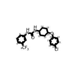 O=C(Nc1cccc(C(F)(F)F)c1)NC1CCC(Oc2ccc(Cl)cc2)CC1